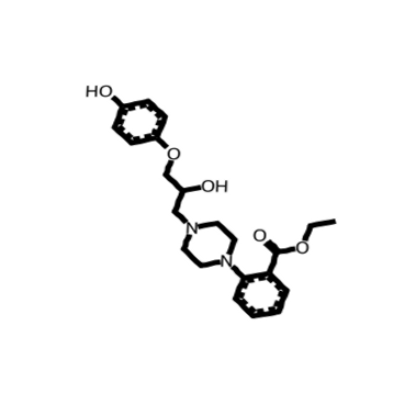 CCOC(=O)c1ccccc1N1CCN(CC(O)COc2ccc(O)cc2)CC1